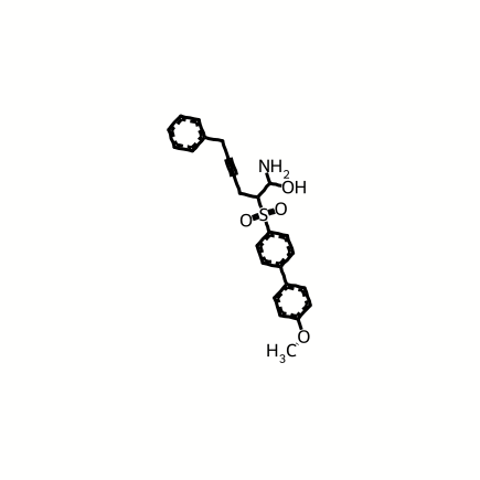 COc1ccc(-c2ccc(S(=O)(=O)C(CC#CCc3ccccc3)C(N)O)cc2)cc1